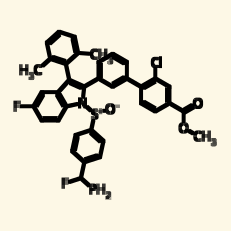 COC(=O)c1ccc(-c2cccc(-c3c(-c4c(C)cccc4C)c4cc(F)ccc4n3[S+]([O-])c3ccc(C(F)P)cc3)c2)c(Cl)c1